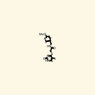 COc1ccc(CNC(=O)CSc2nc(=O)[nH]cc2C)cn1